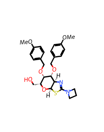 COc1ccc(CO[C@@H]2[C@H]3N=C(N4CCC4)S[C@H]3O[C@H](CO)[C@@H]2OCc2ccc(OC)cc2)cc1